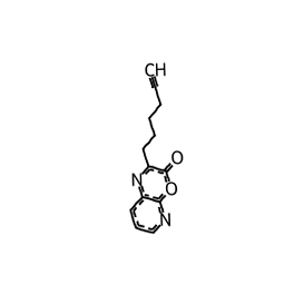 C#CCCCCc1nc2cccnc2oc1=O